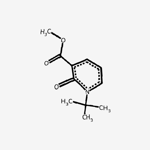 COC(=O)c1cccn(C(C)(C)C)c1=O